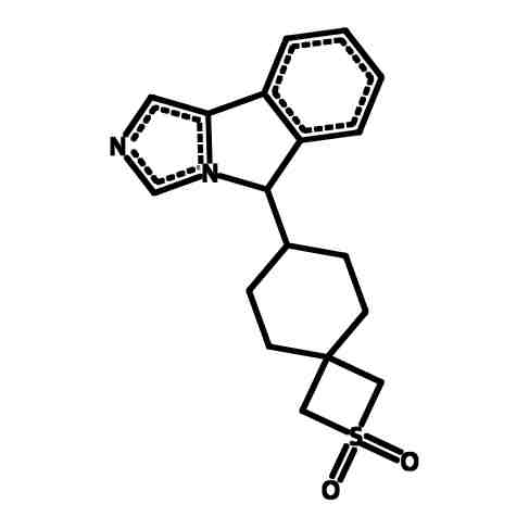 O=S1(=O)CC2(CCC(C3c4ccccc4-c4cncn43)CC2)C1